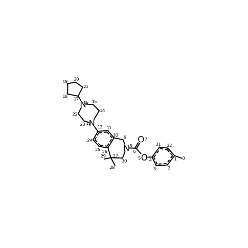 Cc1ccc(OC(=O)N2Cc3cc(N4CCN(C5CCCC5)CC4)ccc3C(C)(C)C2)cc1